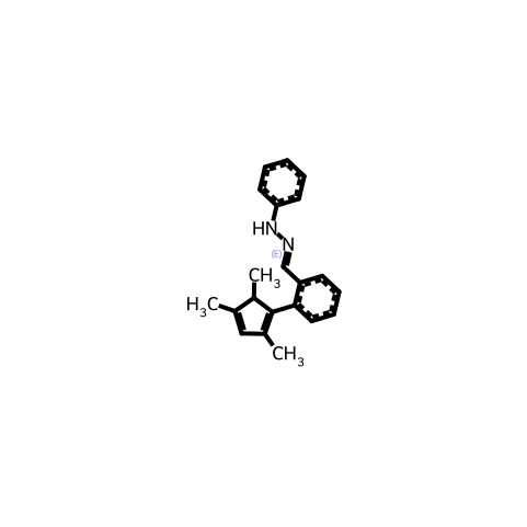 CC1=CC(C)=C(c2ccccc2/C=N/Nc2ccccc2)C1C